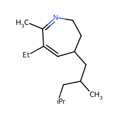 CCC1=CC(CC(C)CC(C)C)CCN=C1C